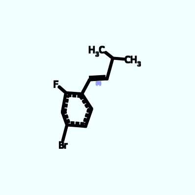 CC(C)/C=C/c1ccc(Br)cc1F